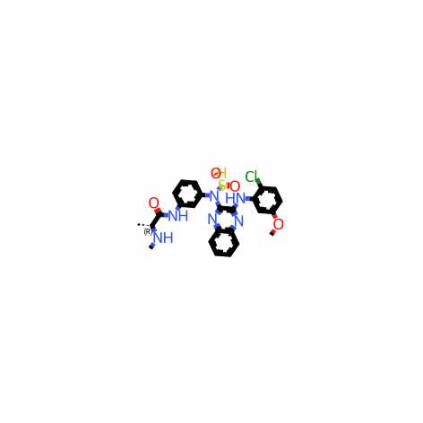 CN[C@H](C)C(=O)Nc1cccc(N(c2nc3ccccc3nc2Nc2cc(OC)ccc2Cl)[SH](=O)=O)c1